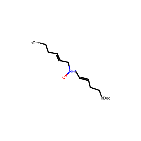 CCCCCCCCCCCCC=CC[NH+]([O-])CC=CCCCCCCCCCCCC